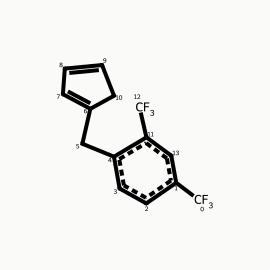 FC(F)(F)c1ccc(CC2=CC=CC2)c(C(F)(F)F)c1